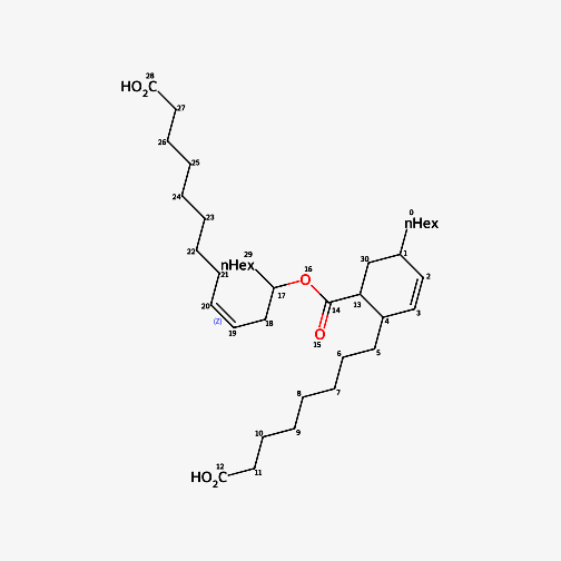 CCCCCCC1C=CC(CCCCCCCC(=O)O)C(C(=O)OC(C/C=C\CCCCCCCC(=O)O)CCCCCC)C1